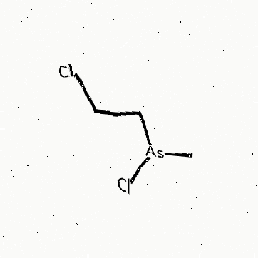 C[As](Cl)CCCl